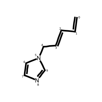 C=CC=CCn1ccnc1